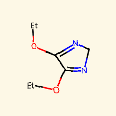 CCOC1=NCN=C1OCC